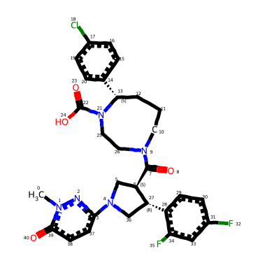 Cn1nc(N2C[C@@H](C(=O)N3CCC[C@@H](c4ccc(Cl)cc4)N(C(=O)O)CC3)[C@H](c3ccc(F)cc3F)C2)ccc1=O